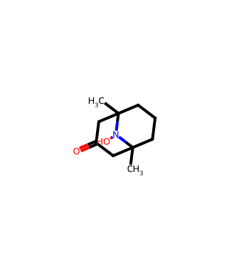 CC12CCCC(C)(CC(=O)C1)N2O